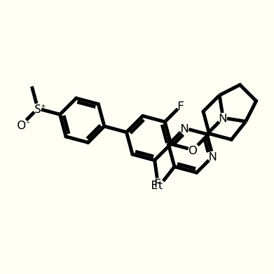 CCc1cnc(N2C3CCC2CC(Oc2c(F)cc(-c4ccc([S+](C)[O-])cc4)cc2F)C3)nc1